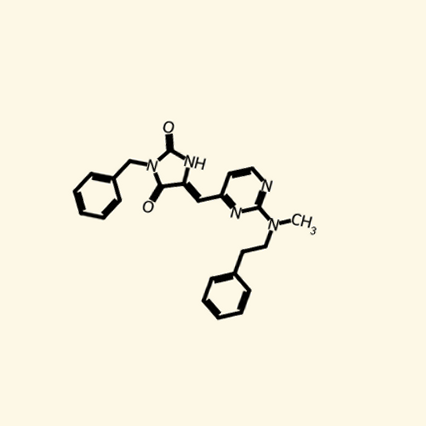 CN(CCc1ccccc1)c1nccc(/C=C2\NC(=O)N(Cc3ccccc3)C2=O)n1